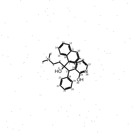 CN(C)CCC(O)(C1=C=C=Cc2ccccc21)C(c1ccccc1)c1cccnc1O